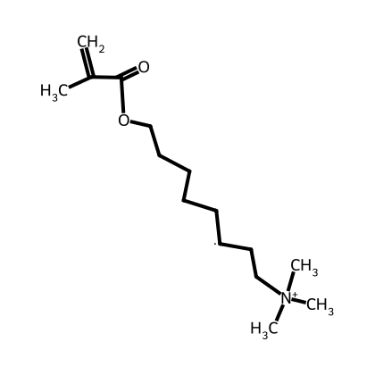 C=C(C)C(=O)OCCCCC[CH]CC[N+](C)(C)C